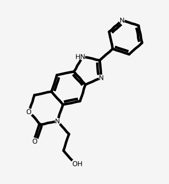 O=C1OCc2cc3[nH]c(-c4cccnc4)nc3cc2N1CCO